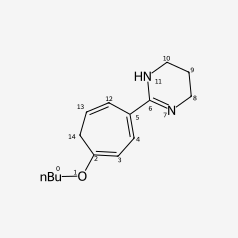 CCCCOC1=CC=C(C2=NCCCN2)C=CC1